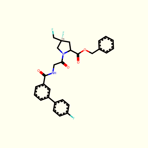 O=C(NCC(=O)N1C[C@@](F)(CF)CC1C(=O)OCc1ccccc1)c1cccc(-c2ccc(F)cc2)c1